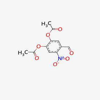 CC(=O)Oc1cc(C=O)c([N+](=O)[O-])cc1OC(C)=O